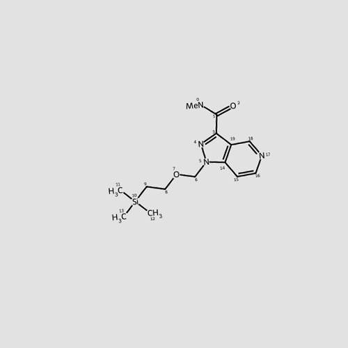 CNC(=O)c1nn(COCC[Si](C)(C)C)c2ccncc12